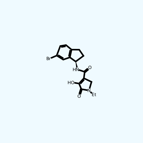 CCN1CC(C(=O)N[C@@H]2CCc3ccc(Br)cc32)=C(O)C1=O